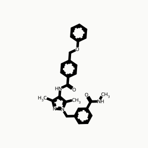 CNC(=O)c1cccc(Cn2nc(C)c(NC(=O)c3ccc(COc4ccccc4)cc3)c2C)c1